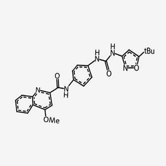 COc1cc(C(=O)Nc2ccc(NC(=O)Nc3cc(C(C)(C)C)on3)cc2)nc2ccccc12